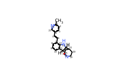 Cc1ccc(/C=C/c2cccc3c2N[C@@H]2C4CCN(CC4)C[C@H]32)cn1